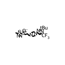 Cc1nnc([S+]([O-])CCCN2CCN(c3cc(C(F)(F)F)nc(C(C)(C)C)n3)CC2)n1C